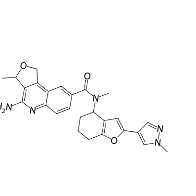 CC1OCc2c1c(N)nc1ccc(C(=O)N(C)C3CCCc4oc(-c5cnn(C)c5)cc43)cc21